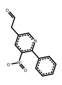 O=CCc1cnc(-c2ccccc2)c([N+](=O)[O-])c1